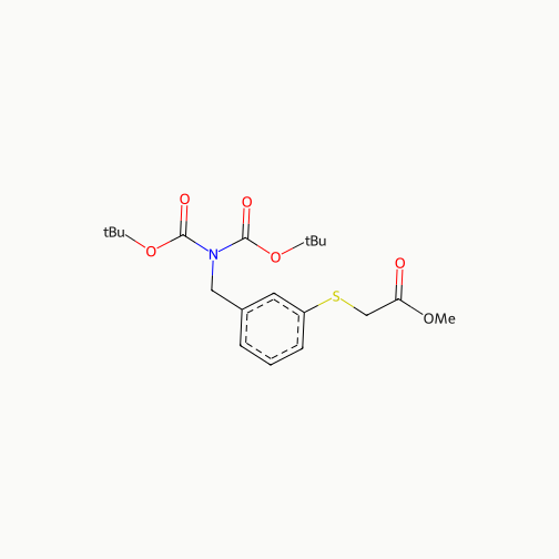 COC(=O)CSc1cccc(CN(C(=O)OC(C)(C)C)C(=O)OC(C)(C)C)c1